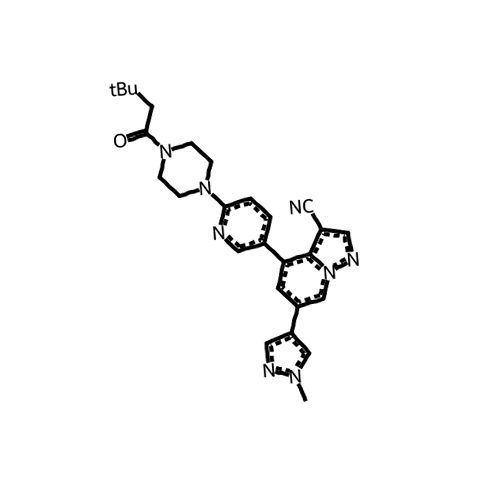 Cn1cc(-c2cc(-c3ccc(N4CCN(C(=O)CC(C)(C)C)CC4)nc3)c3c(C#N)cnn3c2)cn1